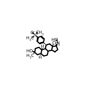 C[C@@]1(O)CC[C@@H]2C3C(CC[C@H]2C1)C1CC/C(=N/O)[C@@]1(C)C[C@@H]3c1ccc([N+](C)(C)[O-])cc1